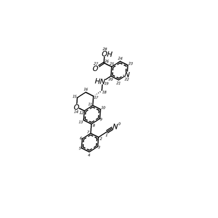 N#Cc1ccccc1-c1ccc2c(c1)OCC[C@@H]2CNc1cnccc1C(=O)O